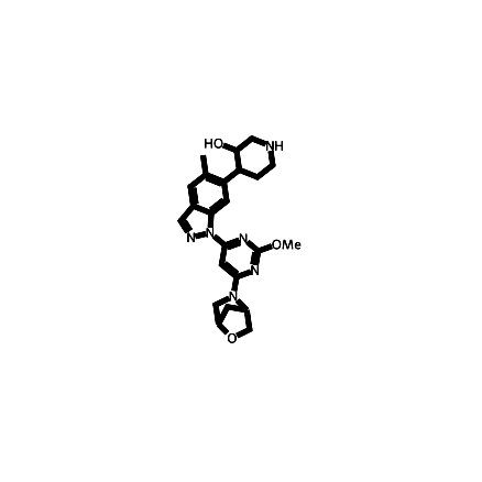 COc1nc(N2CC3CC2CO3)cc(-n2ncc3cc(C)c(C4CCNCC4O)cc32)n1